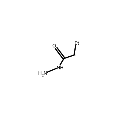 CC[CH]C(=O)NN